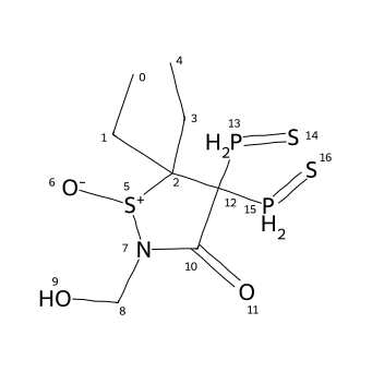 CCC1(CC)[S+]([O-])N(CO)C(=O)C1([PH2]=S)[PH2]=S